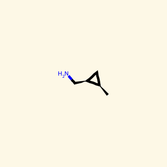 C[C@@H]1C[C@@H]1CN